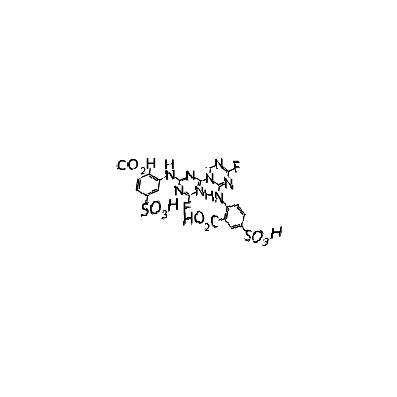 O=C(O)c1cc(S(=O)(=O)O)ccc1NC1=NC(F)=N[CH]N1c1nc(F)nc(Nc2cc(S(=O)(=O)O)ccc2C(=O)O)n1